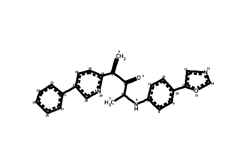 C=C(C(=O)C(C)Nc1ccc(-c2cnco2)cc1)c1ccc(-c2ccccc2)cn1